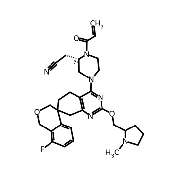 C=CC(=O)N1CCN(c2nc(OCC3CCCN3C)nc3c2CCC2(COCc4c(F)cccc42)C3)C[C@@H]1CC#N